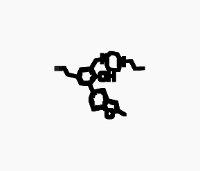 C=CCc1cc(CN2CCN(CCC)CC2)c(O)c(-c2ccc3oc(C)cc3c2)c1